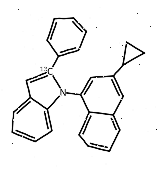 c1ccc(-[13c]2cc3ccccc3n2-c2cc(C3CC3)cc3ccccc23)cc1